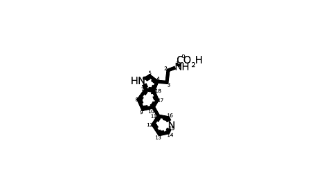 O=C(O)NCCc1c[nH]c2ccc(-c3cccnc3)cc12